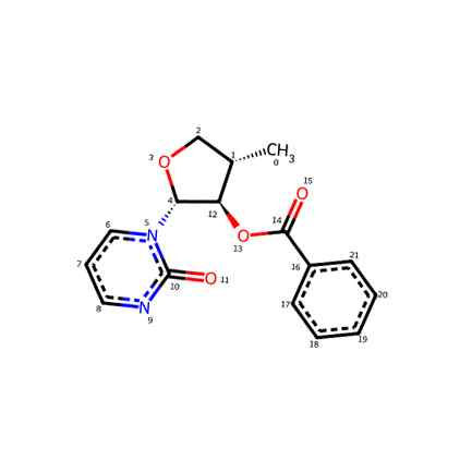 C[C@H]1CO[C@@H](n2cccnc2=O)[C@@H]1OC(=O)c1ccccc1